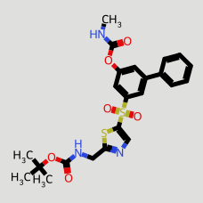 CNC(=O)Oc1cc(-c2ccccc2)cc(S(=O)(=O)c2cnc(CNC(=O)OC(C)(C)C)s2)c1